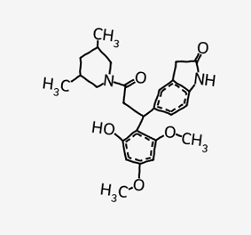 COc1cc(O)c(C(CC(=O)N2CC(C)CC(C)C2)c2ccc3c(c2)CC(=O)N3)c(OC)c1